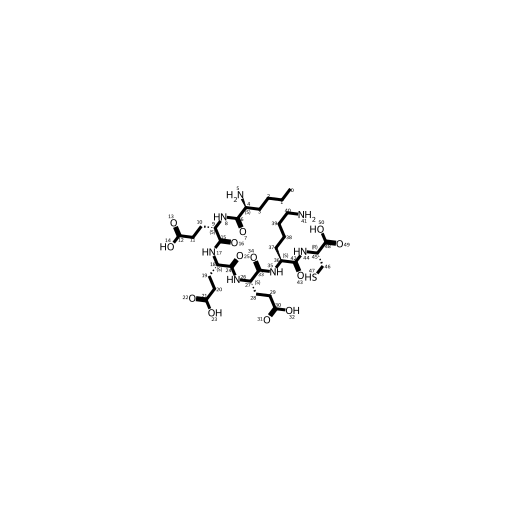 CCCC[C@H](N)C(=O)N[C@@H](CCC(=O)O)C(=O)N[C@@H](CCC(=O)O)C(=O)N[C@@H](CCC(=O)O)C(=O)N[C@@H](CCCCN)C(=O)N[C@@H](CS)C(=O)O